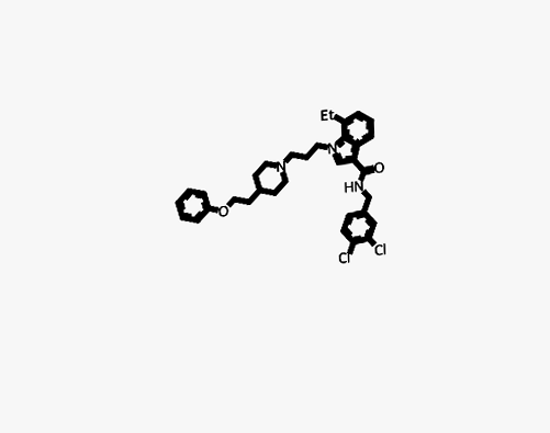 CCc1cccc2c(C(=O)NCc3ccc(Cl)c(Cl)c3)cn(CCCN3CCC(CCOc4ccccc4)CC3)c12